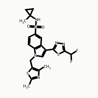 Cc1nc(C)c(Cn2cc(-c3nnc(C(F)F)s3)c3cc(S(=O)(=O)NC4(C)CC4)ccc32)s1